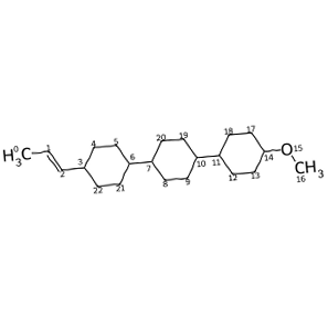 C/C=C/C1CCC(C2CCC(C3CCC(OC)CC3)CC2)CC1